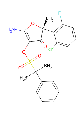 BC(B)(c1ccccc1)S(=O)(=O)OC1=C(N)O[C@](B)(c2c(F)cccc2Cl)C1=O